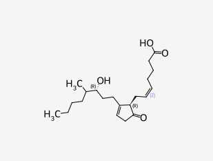 CCCCC(C)[C@H](O)CCC1=CCC(=O)[C@@H]1C/C=C\CCCC(=O)O